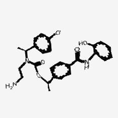 C[C@@H](OC(=O)N(CCN)[C@@H](C)c1ccc(Cl)cc1)c1ccc(C(=O)Nc2ccccc2O)cc1